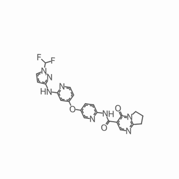 O=C(Nc1ccc(Oc2ccnc(Nc3ccn(C(F)F)n3)c2)cn1)c1cnc2n(c1=O)CCC2